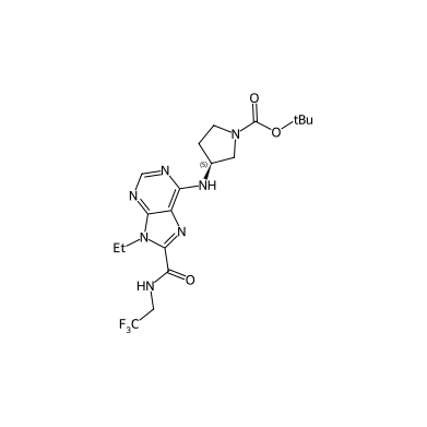 CCn1c(C(=O)NCC(F)(F)F)nc2c(N[C@H]3CCN(C(=O)OC(C)(C)C)C3)ncnc21